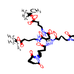 CC(C)(C)OC(=O)CCCNC(=O)[C@@H](NC(=O)CCCN1C(=O)C=CC1=O)[C@H](NC(=O)CCCN1C(=O)C=CC1=O)C(=O)NCCCC(=O)OC(C)(C)C